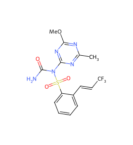 COc1nc(C)nc(N(C(N)=O)S(=O)(=O)c2ccccc2C=CC(F)(F)F)n1